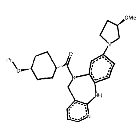 CO[C@@H]1CCN(c2ccc3c(c2)N(C(=O)[C@H]2CC[C@H](OC(C)C)CC2)Cc2cccnc2N3)C1